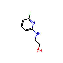 OCCNc1cccc(F)n1